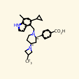 Cc1cc(C2CC2)c(CN2CC[C@H](N3CC(C(F)(F)F)C3)C[C@@H]2c2ccc(C(=O)O)cc2)c2cc[nH]c12